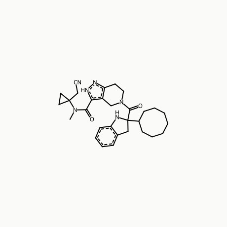 CN(C(=O)c1[nH]nc2c1CN(C(=O)C1(C3CCCCCCC3)Cc3ccccc3N1)CC2)C1(CC#N)CC1